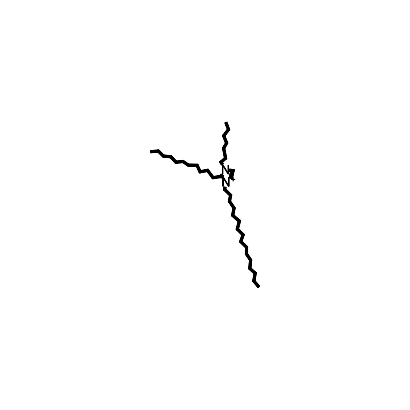 CCCCCCCCCCCCCCCC[n+]1ccn(CCCCCCC)c1CCCCCCCCCCC